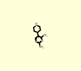 Nc1ncc(C2CCNCC2)c(C(F)(F)F)n1